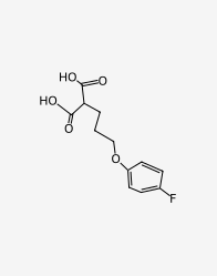 O=C(O)C(CCCOc1ccc(F)cc1)C(=O)O